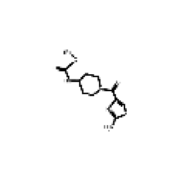 CC(C)(C)OC(=O)NC1CCN(C(=O)c2csc(N)n2)CC1